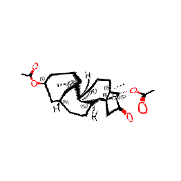 CC(=O)O[C@H]1CC[C@]2(C)[C@H](CC[C@@H]3[C@H]4CC(=O)[C@@H](OC(C)=O)[C@]4(C)CC[C@H]32)C1